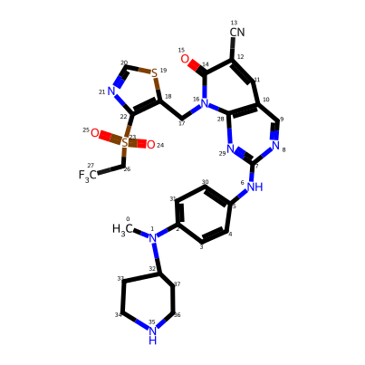 CN(c1ccc(Nc2ncc3cc(C#N)c(=O)n(Cc4scnc4S(=O)(=O)CC(F)(F)F)c3n2)cc1)C1CCNCC1